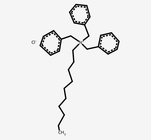 CCCCCCCCCC[N+](Cc1ccccc1)(Cc1ccccc1)Cc1ccccc1.[Cl-]